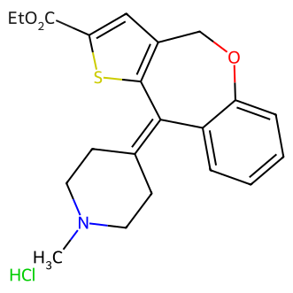 CCOC(=O)c1cc2c(s1)C(=C1CCN(C)CC1)c1ccccc1OC2.Cl